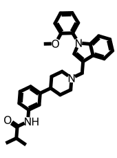 COc1ccccc1-n1cc(CN2CCC(c3cccc(NC(=O)C(C)C)c3)CC2)c2ccccc21